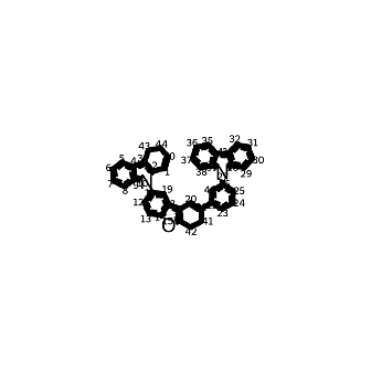 C1=Cc2c(c3ccccc3n2-c2ccc3oc4c(c3c2)C=C(c2cccc(-n3c5ccccc5c5ccccc53)c2)CC4)CC1